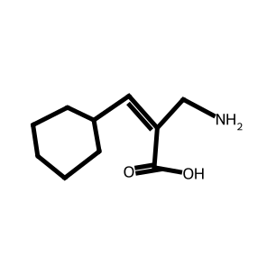 NCC(=CC1CCCCC1)C(=O)O